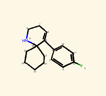 Fc1ccc(C2=CCCNC23CCCCC3)cc1